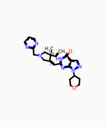 C=C[C@@]1(C)CN(Cc2ncccn2)C/C1=C/c1nc2c(cnn2C2CCOCC2)c(=O)[nH]1